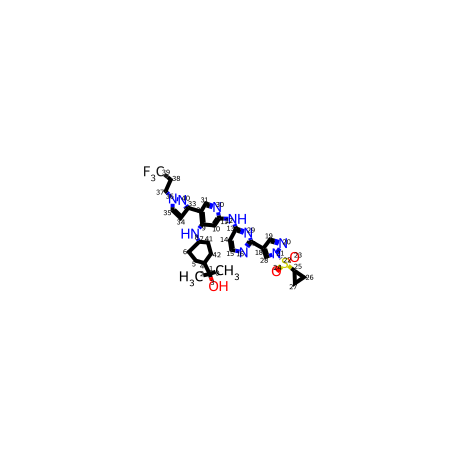 CC(C)(O)C1CCC(Nc2cc(Nc3ccnc(-c4cnn(S(=O)(=O)C5CC5)c4)n3)ncc2-c2ccn(CCC(F)(F)F)n2)CC1